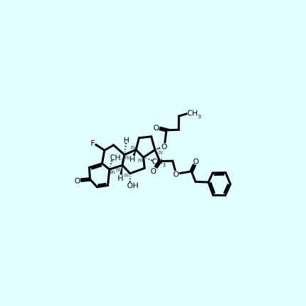 CCCC(=O)O[C@@]1(C(=O)COC(=O)Cc2ccccc2)CC[C@H]2[C@@H]3CC(F)C4=CC(=O)C=C[C@]4(C)[C@H]3[C@@H](O)C[C@@]21C